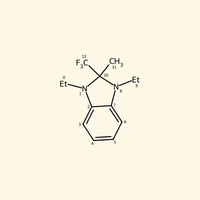 CCN1c2ccccc2N(CC)C1(C)C(F)(F)F